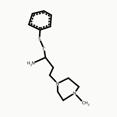 CN1CCN(CCC(N)CSc2ccccc2)CC1